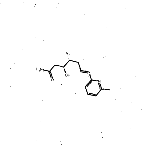 Cc1cccc(/C=C/C[C@@H](C)[C@@H](O)CC(N)=O)n1